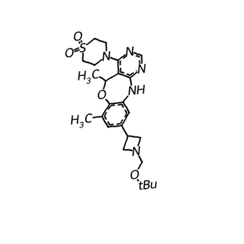 Cc1cc(C2CN(COC(C)(C)C)C2)cc2c1OC(C)c1c(ncnc1N1CCS(=O)(=O)CC1)N2